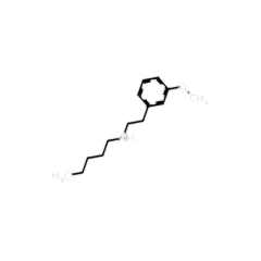 CCCCCNCCc1cccc(OC)c1